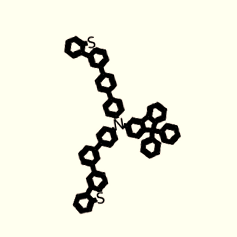 c1ccc(C2(c3ccccc3)c3ccccc3-c3cc(N(c4ccc(-c5ccc(-c6ccc7sc8ccccc8c7c6)cc5)cc4)c4ccc(-c5cccc(-c6ccc7sc8ccccc8c7c6)c5)cc4)ccc32)cc1